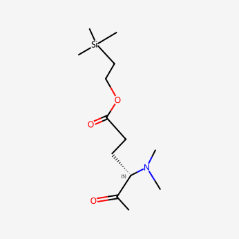 CC(=O)[C@H](CCC(=O)OCC[Si](C)(C)C)N(C)C